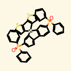 O=P(c1ccccc1)(c1ccccc1)c1ccc2c(c1)[Si]1(c3cc(P(=O)(c4ccccc4)c4ccccc4)ccc3-2)c2ccsc2-c2sccc21